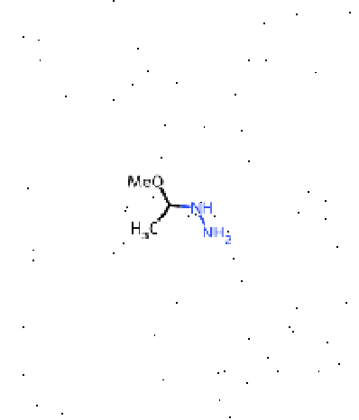 COC(C)NN